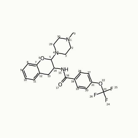 CN1CCN(C2Oc3ccccc3CC2NC(=O)c2ccc(OC(F)(F)F)cc2)CC1